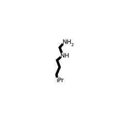 CC(C)CCCNCN